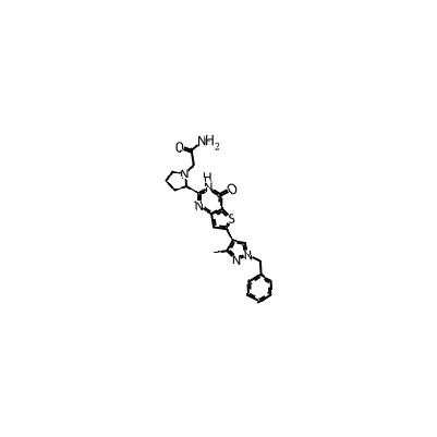 Cc1nn(Cc2ccccc2)cc1-c1cc2nc(C3CCCN3CC(N)=O)[nH]c(=O)c2s1